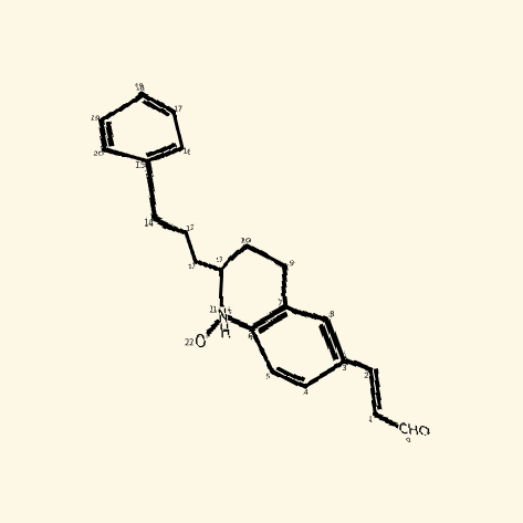 O=CC=Cc1ccc2c(c1)CCC(CCCc1ccccc1)[NH+]2[O-]